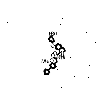 COC(=O)C(Cc1ccc(-c2ccccc2)cc1)NC(=O)C1NCCc2ccc(Oc3ccc(C(C)(C)C)cc3)cc21